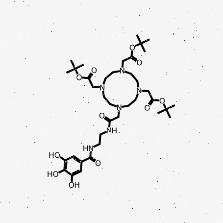 CC(C)(C)OC(=O)CN1CCN(CC(=O)NCCNC(=O)c2cc(O)c(O)c(O)c2)CCN(CC(=O)OC(C)(C)C)CCN(CC(=O)OC(C)(C)C)CC1